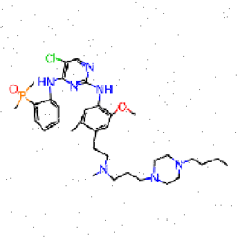 CCCCN1CCN(CCCN(C)CCc2cc(OC)c(Nc3ncc(Cl)c(Nc4ccccc4P(C)(C)=O)n3)cc2C)CC1